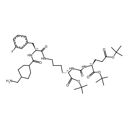 CC(C)(C)OC(=O)CC[C@H](NC(=O)N[C@@H](CCCCNC(=O)[C@H](Cc1cccc(F)c1)NC(=O)C1CCC(CN)CC1)C(=O)OC(C)(C)C)C(=O)OC(C)(C)C